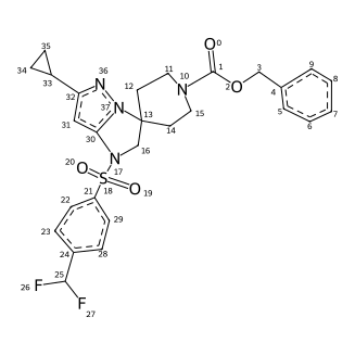 O=C(OCc1ccccc1)N1CCC2(CC1)CN(S(=O)(=O)c1ccc(C(F)F)cc1)c1cc(C3CC3)nn12